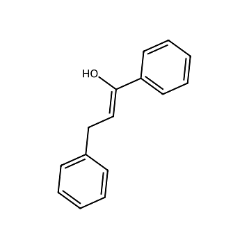 OC(=CCc1ccccc1)c1ccccc1